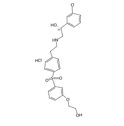 Cl.O=S(=O)(c1ccc(CCNC[C@H](O)c2cccc(Cl)c2)cc1)c1cccc(OCCO)c1